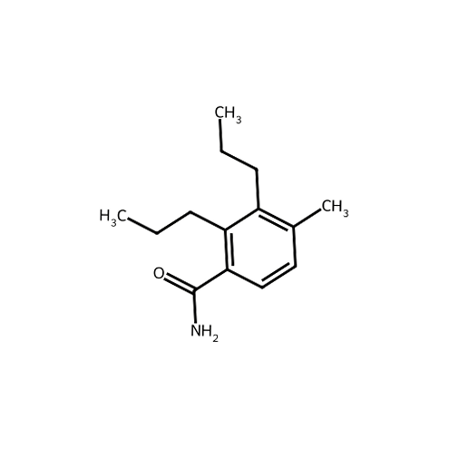 CCCc1c(C)ccc(C(N)=O)c1CCC